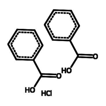 Cl.O=C(O)c1ccccc1.O=C(O)c1ccccc1